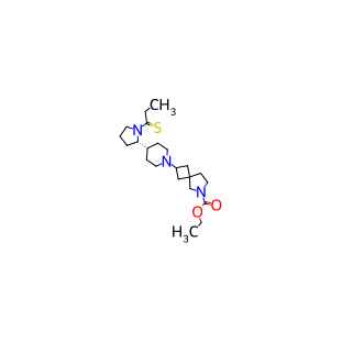 CCOC(=O)N1CCC2(CC(N3CCC([C@@H]4CCCN4C(=S)CC)CC3)C2)C1